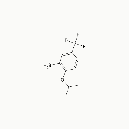 Bc1cc(C(F)(F)F)ccc1OC(C)C